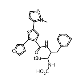 Cn1nccc1-c1cc(C(=O)NC(Cc2ccccc2)C(NC(=O)O)C(C)(C)C)c(-c2ccoc2)s1